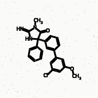 COc1cc(Cl)cc(-c2cccc(C3(c4ccccc4)NC(=N)N(C)C3=O)c2)c1